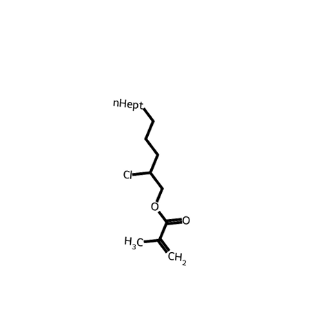 C=C(C)C(=O)OCC(Cl)CCCCCCCCCC